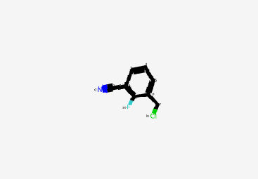 N#Cc1cccc(CCl)c1F